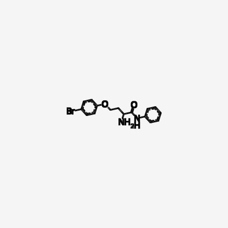 NC(CCOc1ccc(Br)cc1)C(=O)Nc1ccccc1